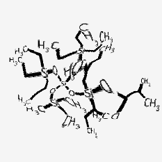 C=C(C)C(=O)O[Si](O[Si](O[Si](C)(C)C)(O[Si](CC)(CC)CC)O[Si](CC)(CC)CC)(C(C)CC)C(C)CC